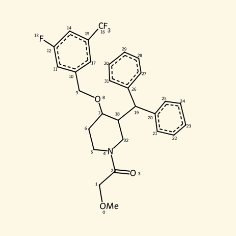 COCC(=O)N1CCC(OCc2cc(F)cc(C(F)(F)F)c2)C(C(c2ccccc2)c2ccccc2)C1